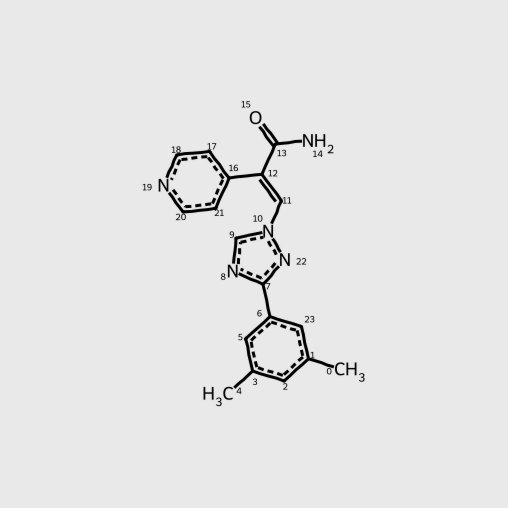 Cc1cc(C)cc(-c2ncn(/C=C(/C(N)=O)c3ccncc3)n2)c1